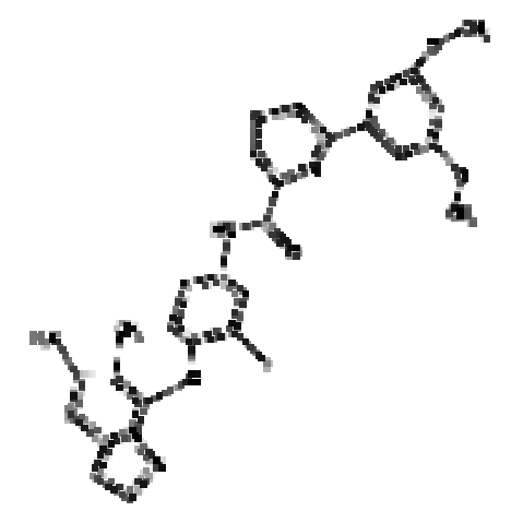 COc1cc(OC)cc(-c2cccc(C(=O)Nc3ccc(Oc4c(C)c(C)nc5ccnn45)c(F)c3)n2)c1